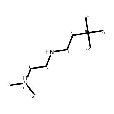 C[SH](C)CCNCCC(C)(C)C